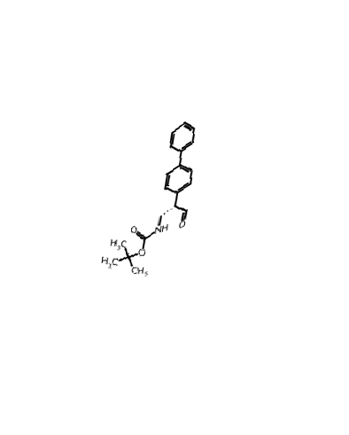 CC(C)(C)OC(=O)NC[C@@H](C=O)c1ccc(-c2ccccc2)cc1